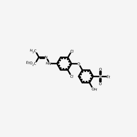 CCOC(=O)/C(C)=N\Nc1cc(Cl)c(Oc2ccc(O)c(S(=O)(=O)CC)c2)c(Cl)c1